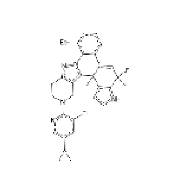 CCc1cccc2c1-n1nc3c(c1C1(C)C2=CC(C)(F)c2[nH]ccc21)CN(c1ncc(C2CC2)cc1Cl)CC3